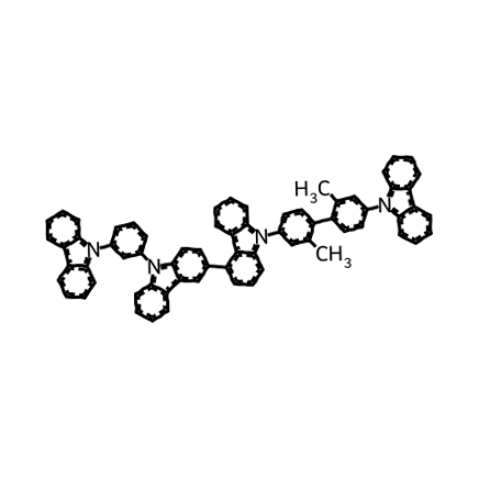 Cc1cc(-n2c3ccccc3c3ccccc32)ccc1-c1ccc(-n2c3ccccc3c3c(-c4ccc5c(c4)c4ccccc4n5-c4cccc(-n5c6ccccc6c6ccccc65)c4)cccc32)cc1C